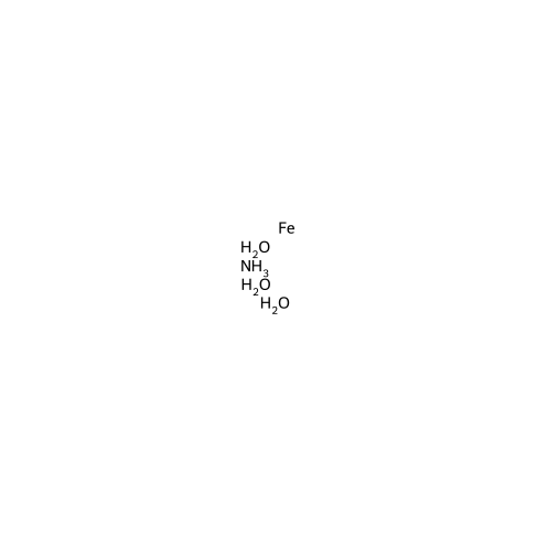 N.O.O.O.[Fe]